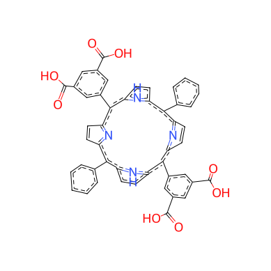 O=C(O)c1cc(C(=O)O)cc(-c2c3nc(c(-c4ccccc4)c4ccc([nH]4)c(-c4cc(C(=O)O)cc(C(=O)O)c4)c4nc(c(-c5ccccc5)c5ccc2[nH]5)C=C4)C=C3)c1